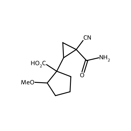 COC1CCCC1(C(=O)O)C1CC1(C#N)C(N)=O